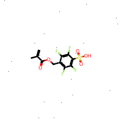 C=C(C)C(=O)OCc1c(F)c(F)c(S(=O)(=O)O)c(F)c1F